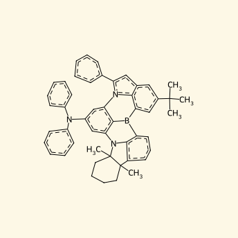 CC(C)(C)c1cc2c3c(c1)cc(-c1ccccc1)n3-c1cc(N(c3ccccc3)c3ccccc3)cc3c1B2c1cccc2c1N3C1(C)CCCCC21C